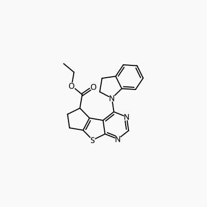 CCOC(=O)C1CCc2sc3ncnc(N4CCc5ccccc54)c3c21